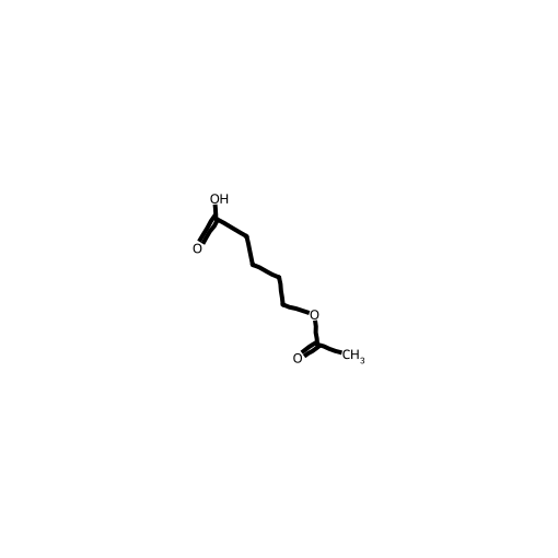 CC(=O)OCCCCC(=O)O